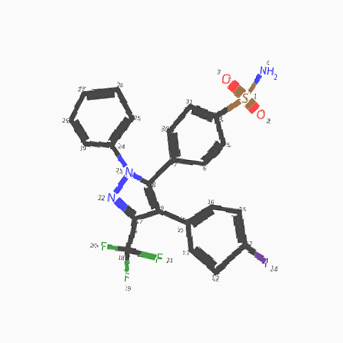 NS(=O)(=O)c1ccc(-c2c(-c3ccc(I)cc3)c(C(F)(F)F)nn2-c2ccccc2)cc1